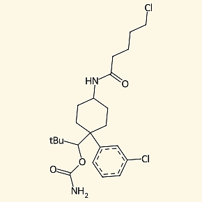 CC(C)(C)C(OC(N)=O)C1(c2cccc(Cl)c2)CCC(NC(=O)CCCCCl)CC1